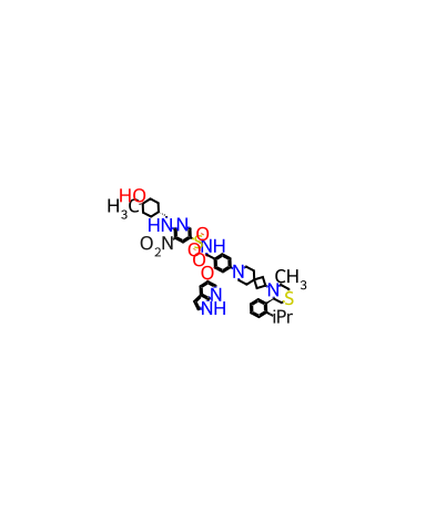 CC(C)c1ccccc1[C@@H]1CSCC(C)N1C1CC2(CCN(c3ccc(C(=O)NS(=O)(=O)c4cnc(NC[C@H]5CC[C@](C)(O)CC5)c([N+](=O)[O-])c4)c(Oc4cnc5[nH]ccc5c4)c3)CC2)C1